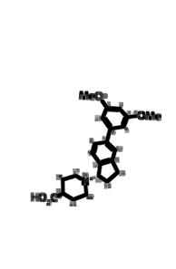 COc1cc(OC)cc(-c2ccc3c(c2)CC[C@@H]3N2CCC(C(=O)O)CC2)c1